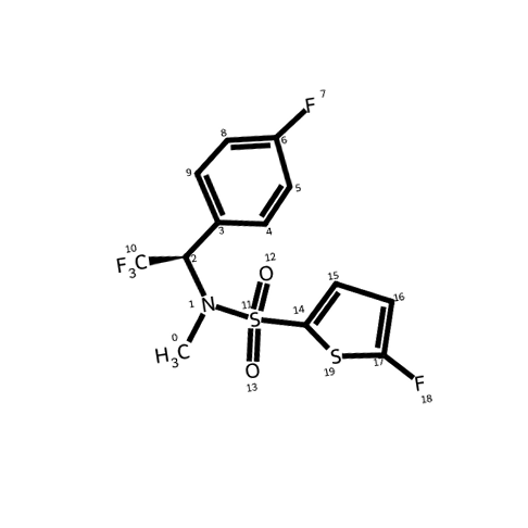 CN([C@H](c1ccc(F)cc1)C(F)(F)F)S(=O)(=O)c1ccc(F)s1